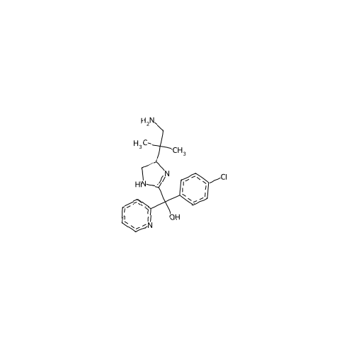 CC(C)(CN)C1CNC(C(O)(c2ccc(Cl)cc2)c2ccccn2)=N1